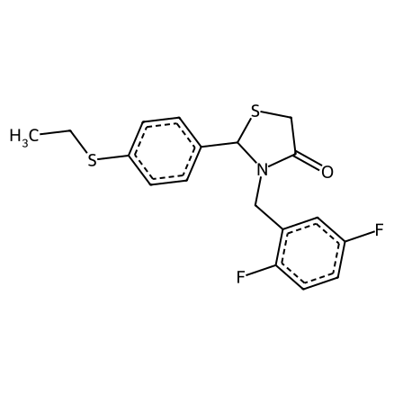 CCSc1ccc(C2SCC(=O)N2Cc2cc(F)ccc2F)cc1